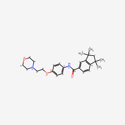 CC1(C)CC(C)(C)c2cc(C(=O)Nc3ccc(OCCN4CCOCC4)cc3)ccc21